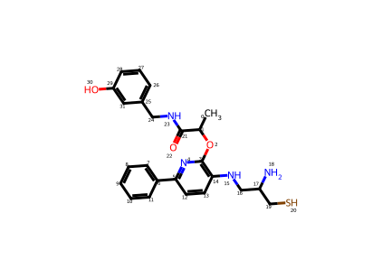 CC(Oc1nc(-c2ccccc2)ccc1NCC(N)CS)C(=O)NCc1cccc(O)c1